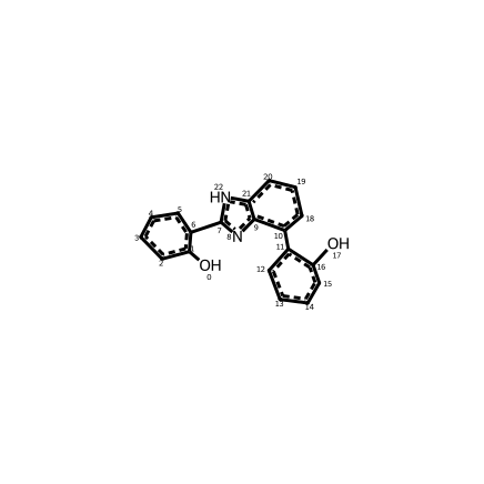 Oc1ccccc1-c1nc2c(-c3ccccc3O)cccc2[nH]1